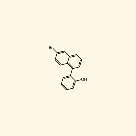 Oc1ccccc1-c1cccc2cc(Br)ccc12